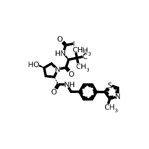 Cc1ncsc1-c1ccc(CNC(=O)[C@@H]2C[C@@H](O)CN2C(=O)[C@@H](NC(=O)I)C(C)(C)C)cc1